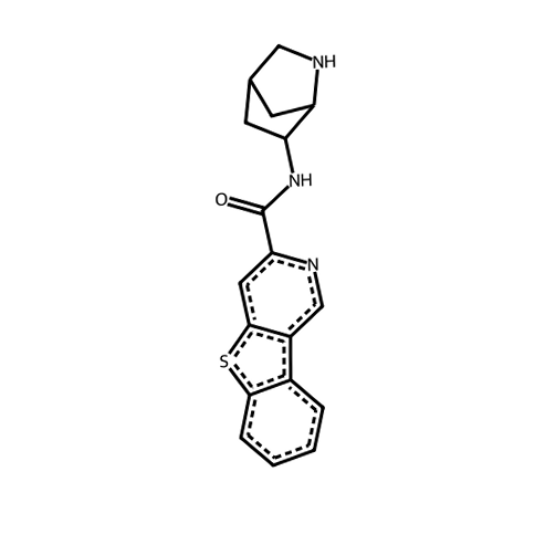 O=C(NC1CC2CNC1C2)c1cc2sc3ccccc3c2cn1